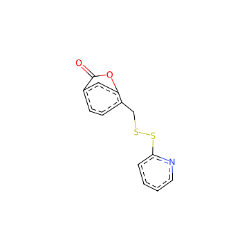 O=C1Oc2cc1ccc2CSSc1ccccn1